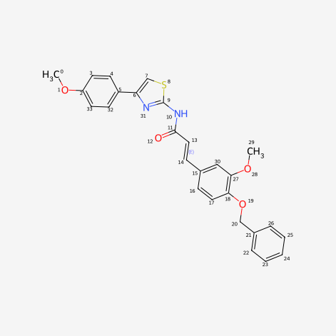 COc1ccc(-c2csc(NC(=O)/C=C/c3ccc(OCc4ccccc4)c(OC)c3)n2)cc1